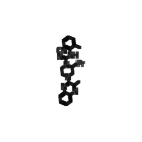 Cc1ccccc1N/C(=N\C#N)N1CCN(c2nc3ccccc3nc2C)CC1C(C)C